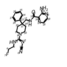 N#C/N=C(\NCCF)N1CCC(CNC(=O)c2nccnc2N)(c2ccccc2)CC1